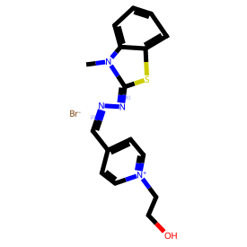 Cn1/c(=N\N=C/c2cc[n+](CCO)cc2)sc2ccccc21.[Br-]